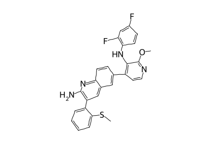 COc1nccc(-c2ccc3nc(N)c(-c4ccccc4SC)cc3c2)c1Nc1ccc(F)cc1F